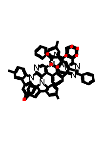 Cc1ccc2c(c1)c1cc(C)ccc1n2-c1cnc(-n2c3ccc(C)cc3c3cc(C)ccc32)c(-n2c3ccc(C)cc3c3cc(C)ccc32)c1-c1cccc(-c2nc(-c3ccccc3)nc(-c3ccccc3)n2)c1-c1nc(-c2ccccc2)nc(-c2ccccc2)n1